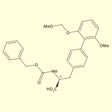 COCOc1cccc(OC)c1-c1ccc(C[C@H](NC(=O)OCc2ccccc2)C(=O)O)cc1